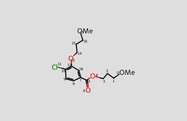 COCCCOC(=O)c1ccc(Cl)c(OCCCOC)c1